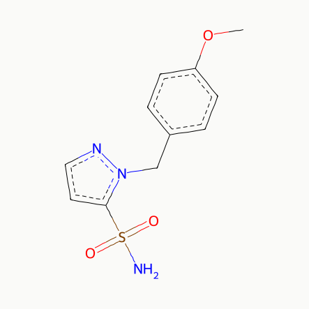 COc1ccc(Cn2nccc2S(N)(=O)=O)cc1